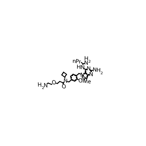 CCCC(N)Nc1nc(N)nc2cnn(Cc3ccc(CN(C(=O)CCOCCN)C4CCC4)cc3OC)c12